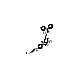 CC#CCOc1ccc(S(=O)(=O)C(CCCCNC(=O)C(c2ccccc2)c2ccccc2)C(=O)NO)cc1